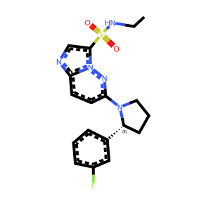 CCNS(=O)(=O)c1cnc2ccc(N3CCC[C@@H]3c3cccc(F)c3)nn12